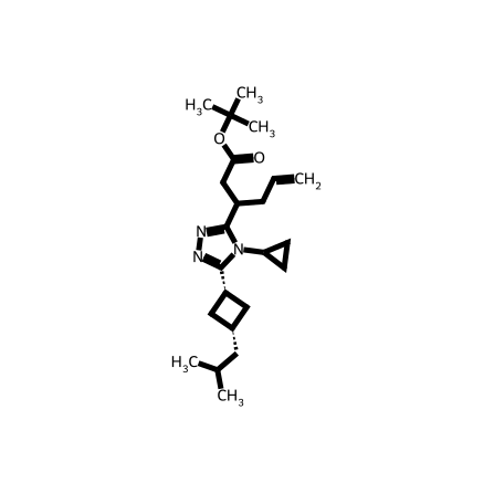 C=CCC(CC(=O)OC(C)(C)C)c1nnc([C@H]2C[C@@H](CC(C)C)C2)n1C1CC1